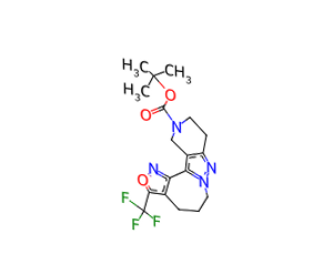 CC(C)(C)OC(=O)N1CCc2nn3c(c2C1)-c1noc(C(F)(F)F)c1CCC3